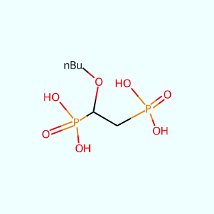 CCCCOC(CP(=O)(O)O)P(=O)(O)O